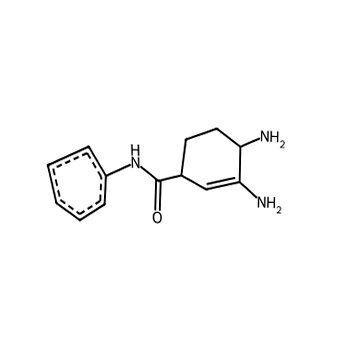 NC1=CC(C(=O)Nc2ccccc2)CCC1N